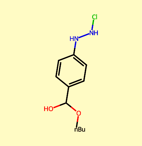 CCCCOC(O)c1ccc(NNCl)cc1